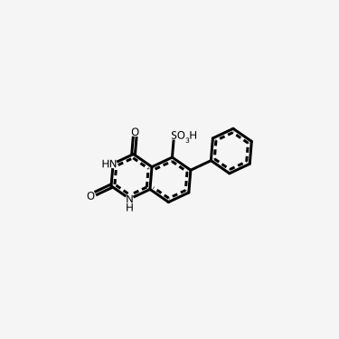 O=c1[nH]c(=O)c2c(S(=O)(=O)O)c(-c3ccccc3)ccc2[nH]1